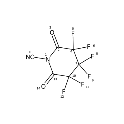 N#CN1C(=O)C(F)(F)C(F)(F)C(F)(F)C1=O